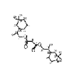 CC(COC(=O)CC(=O)OCC(C)C1CCCC(C)(C)C1)C1CCCC(C)(C)C1